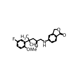 COc1ccc(F)cc1C(C)(C)CC(=O)CNc1ccc2c(c1)COC2=O